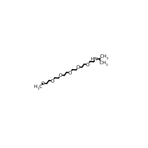 COCCOCCOCCOCCOCCOCCNC(C)C